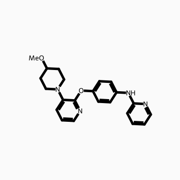 COC1CCN(c2cccnc2Oc2ccc(Nc3ccccn3)cc2)CC1